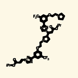 CC(C)OC(=O)/C=C(/C1CCN(CCOc2cc(-c3ncn(/C=C/C(=O)OC(C)C)n3)cc(C(F)(F)F)c2)C1)n1cnc(-c2cc(OCCN3CCCC3)cc(C(F)(F)F)c2)n1